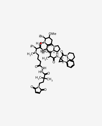 CCC(C)C(C(CC(=O)N1CCC[C@H]1C(OC)C(C)C(=O)N[C@@]1(C(=O)N2CCCCO2)C[C@@H]1c1ccccc1)OC)N(C)C(=O)C(NC(=O)C(C(C)C)N(C)CCCC(=O)NNC(=O)C(C)(C)CCN1C(=O)C=CC1=O)C(C)C